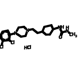 CNC(=O)NC1CCC(CCN2CCN(c3cccc(Cl)c3Cl)CC2)CC1.Cl